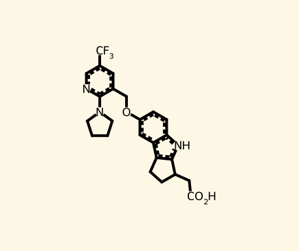 O=C(O)CC1CCc2c1[nH]c1ccc(OCc3cc(C(F)(F)F)cnc3N3CCCC3)cc21